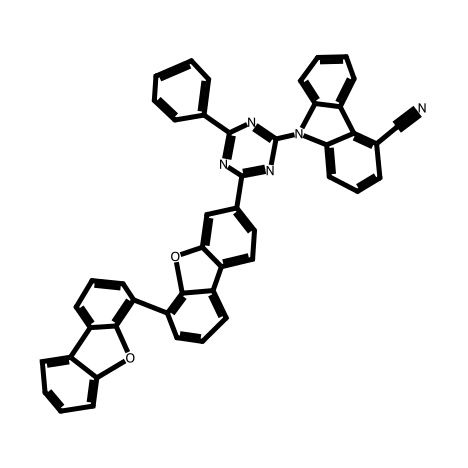 N#Cc1cccc2c1c1ccccc1n2-c1nc(-c2ccccc2)nc(-c2ccc3c(c2)oc2c(-c4cccc5c4oc4ccccc45)cccc23)n1